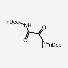 CCCCCCCCCCNC(=O)C(=O)NCCCCCCCCCC